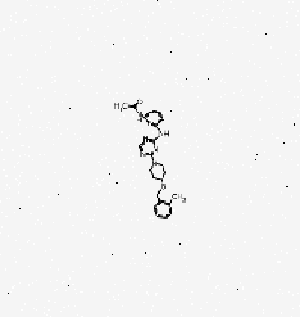 CC(=O)Nc1cccc(Nc2ncnc(N3CCC(OCc4ccccc4C)CC3)n2)c1